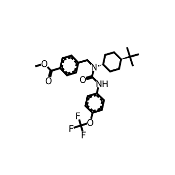 COC(=O)c1ccc(CN(C(=O)Nc2ccc(OC(F)(F)F)cc2)[C@H]2CC[C@H](C(C)(C)C)CC2)cc1